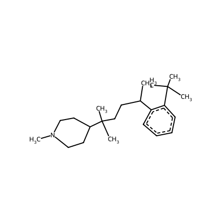 CC(CCC(C)(C)C1CCN(C)CC1)c1ccccc1C(C)(C)C